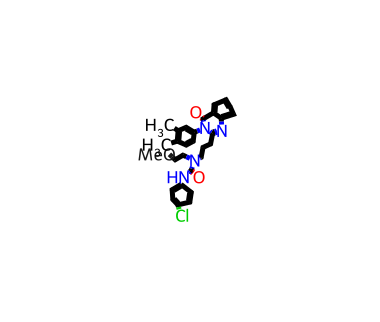 COCCN(CCCc1nc2ccccc2c(=O)n1-c1ccc(C)c(C)c1)C(=O)Nc1ccc(Cl)cc1